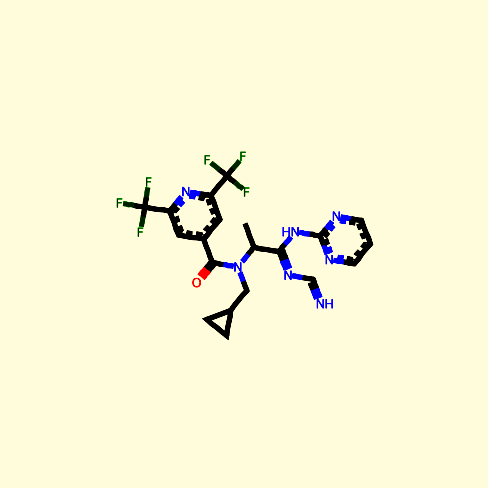 CC(/C(=N/C=N)Nc1ncccn1)N(CC1CC1)C(=O)c1cc(C(F)(F)F)nc(C(F)(F)F)c1